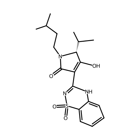 CC(C)CCN1C(=O)C(C2=NS(=O)(=O)c3ccccc3N2)=C(O)[C@H]1C(C)C